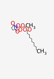 CCCCCCCCCCC(=O)OC(C)OC(=O)ON1C(=O)CCC1=O